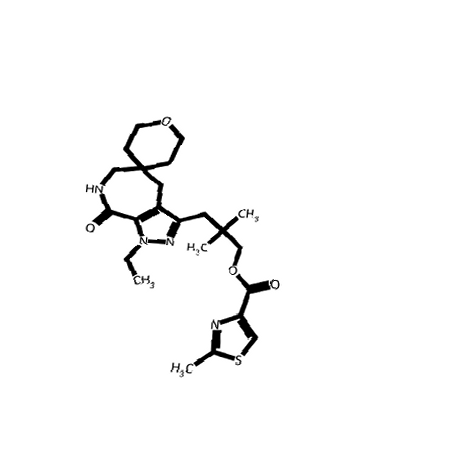 CCn1nc(CC(C)(C)COC(=O)c2csc(C)n2)c2c1C(=O)NCC1(CCOCC1)C2